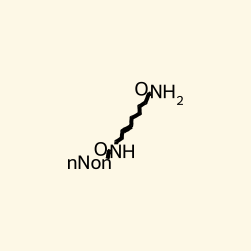 CCCCCCCCCC(=O)NCC/C=C/CCCCC(N)=O